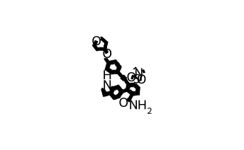 CN(C)S(=O)(=O)c1ccc(C(N)=O)c(-c2ccc3cc[nH]c3c2)c1C#Cc1ccc(COC2CCOCC2)cc1